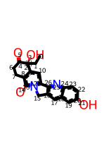 CC[C@@]1(O)C(=O)CCc2c1cc1n(c2=O)Cc2cc3cc(O)ccc3nc2-1